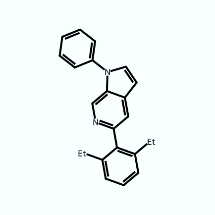 CCc1cccc(CC)c1-c1cc2ccn(-c3ccccc3)c2cn1